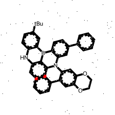 Cc1cc2c3c(c1)N(c1cc4c(cc1-c1ccccc1)OCCO4)c1cc(-c4ccccc4)ccc1B3c1cc(C(C)(C)C)ccc1N2